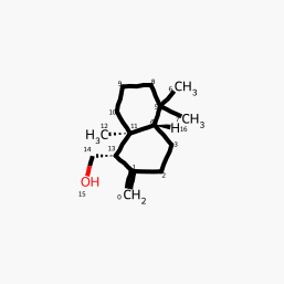 C=C1CC[C@H]2C(C)(C)CCC[C@]2(C)[C@H]1CO